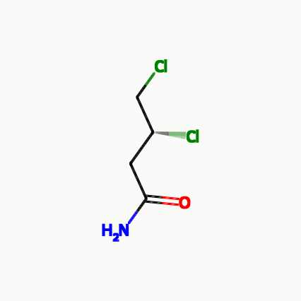 NC(=O)C[C@@H](Cl)CCl